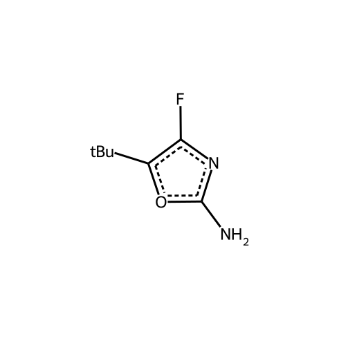 CC(C)(C)c1oc(N)nc1F